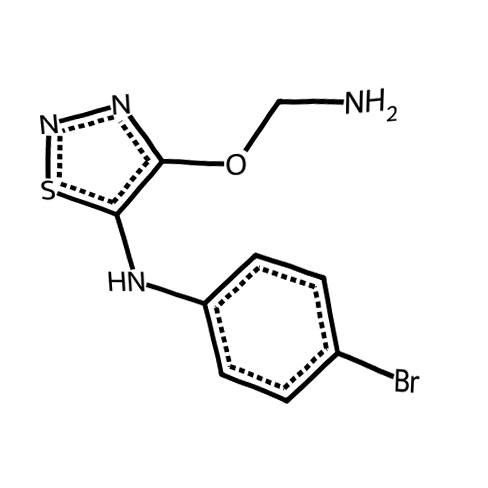 NCOc1nnsc1Nc1ccc(Br)cc1